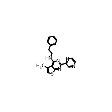 Cc1csc2nc(-c3cnccn3)nc(NCCc3ccccc3)c12